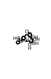 OC[C@H]1O[C@@](O)(c2ccc(Cl)c(Cc3ccc(OC4(CO)CCCC4)cc3)c2)[C@H](O)[C@@H](O)[C@@H]1O